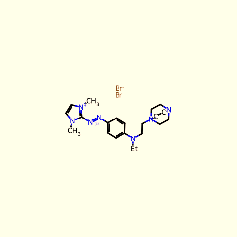 CCN(CC[N+]12CCN(CC1)CC2)c1ccc(/N=N/c2n(C)cc[n+]2C)cc1.[Br-].[Br-]